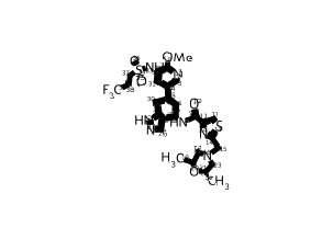 COc1ncc(-c2cc(NC(=O)c3csc(CN4CC(C)O[C@H](C)C4)n3)c3cn[nH]c3c2)cc1NS(=O)(=O)CCC(F)(F)F